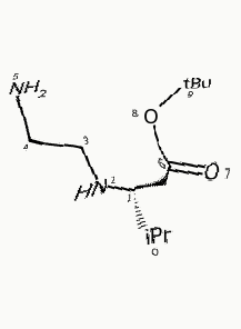 CC(C)[C@H](NCCN)C(=O)OC(C)(C)C